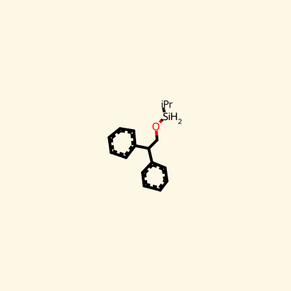 CC(C)[SiH2]OCC(c1ccccc1)c1ccccc1